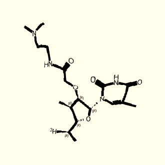 [2H][C@H](C)[C@H]1O[C@@H](n2cc(C)c(=O)[nH]c2=O)[C@H](OCC(=O)NCCN(C)C)[C@@H]1C